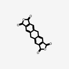 O=C1OC(=O)c2cc3c(cc21)Cc1cc2c(cc1C3)C(=O)OC2=O